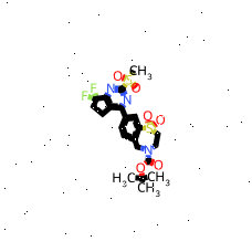 CC(C)(C)OC(=O)N1CCS(=O)(=O)c2cc(-c3nc(S(C)(=O)=O)nc4c3CCC4(F)F)ccc2C1